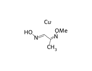 CON=C(C)C=NO.[Cu]